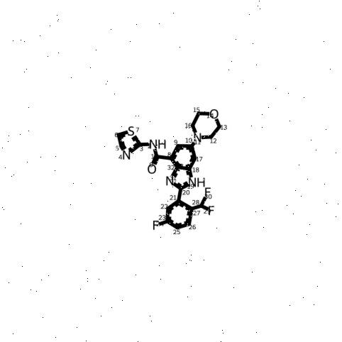 O=C(Nc1nccs1)c1cc(N2CCOCC2)cc2[nH]c(-c3cc(F)ccc3C(F)F)nc12